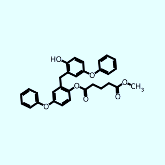 COC(=O)CCCC(=O)Oc1ccc(Oc2ccccc2)cc1Cc1cc(Oc2ccccc2)ccc1O